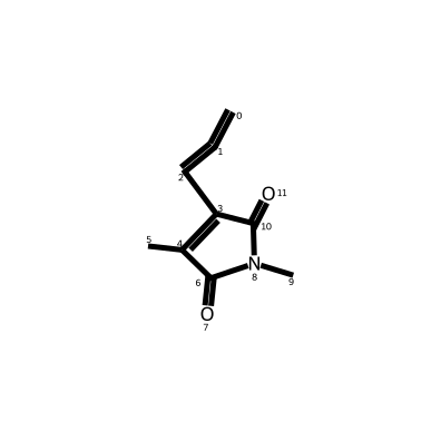 C=C=CC1=C(C)C(=O)N(C)C1=O